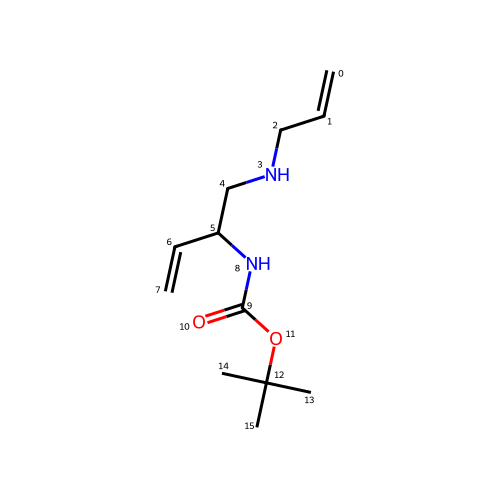 C=CCNCC(C=C)NC(=O)OC(C)(C)C